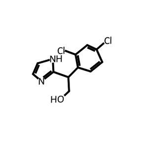 OCC(c1ncc[nH]1)c1ccc(Cl)cc1Cl